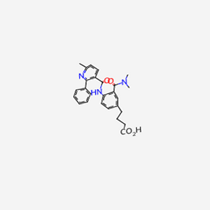 Cc1ccc(C(=O)Nc2ccc(CCCC(=O)O)cc2C(=O)N(C)C)c(-c2ccccc2)n1